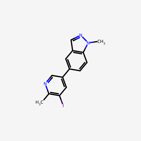 Cc1ncc(-c2ccc3c(cnn3C)c2)cc1I